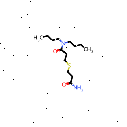 CCCCN(CCCC)C(=O)CCSCCC(N)=O